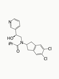 CC(C)C(=O)N(C[C@@H](O)c1cccnc1)C1Cc2cc(Cl)c(Cl)cc2C1